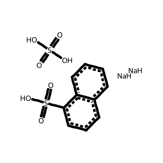 O=S(=O)(O)O.O=S(=O)(O)c1cccc2ccccc12.[NaH].[NaH]